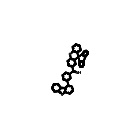 N=C(c1cccc(-c2cccc3sc4ccccc4c23)c1)c1ccc2c(c1)C1(c3ccccc3O2)c2ccccc2-c2ccccc21